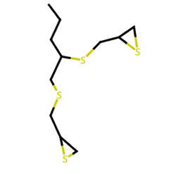 CCCC(CSCC1CS1)SCC1CS1